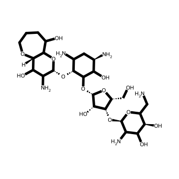 NCC1O[C@H](O[C@@H]2[C@H](O)[C@H](OC3C(O)[C@H](N)CC(N)[C@H]3O[C@H]3OC4C(O)CCCO[C@H]4C(O)C3N)O[C@@H]2CO)C(N)C(O)[C@@H]1O